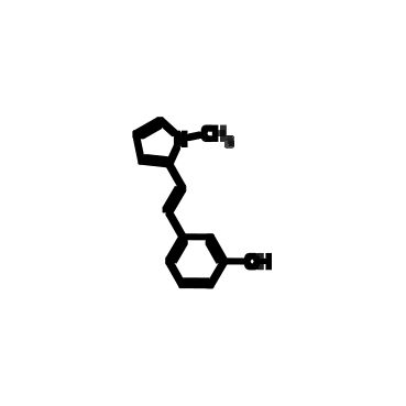 Cn1cccc1C=Cc1cccc(O)c1